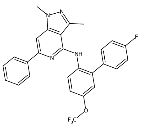 Cc1nn(C)c2cc(-c3ccccc3)nc(Nc3ccc(OC(F)(F)F)cc3-c3ccc(F)cc3)c12